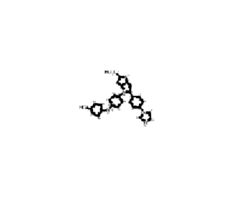 O=C(O)c1cc2c(cc(-c3ccc(-n4ccnc4)cc3)n2-c2ccc(Nc3ccc(O)cc3)cc2)s1